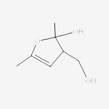 CC1=CC(CO)C(C)(O)O1